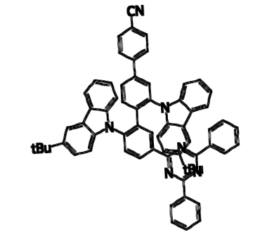 CC(C)(C)c1ccc2c(c1)c1ccccc1n2-c1ccc(-c2nc(-c3ccccc3)nc(-c3ccccc3)n2)cc1-c1ccc(-c2ccc(C#N)cc2)cc1-n1c2ccccc2c2cc(C(C)(C)C)ccc21